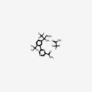 O=C(O)C(F)(F)F.[2H]C([2H])([2H])c1ccc(C(O)(CO)C(F)(F)F)cc1-c1cncc(C(N)=O)n1